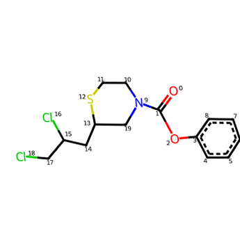 O=C(Oc1ccccc1)N1CCSC(CC(Cl)CCl)C1